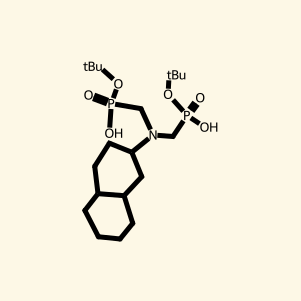 CC(C)(C)OP(=O)(O)CN(CP(=O)(O)OC(C)(C)C)C1CCC2CCCCC2C1